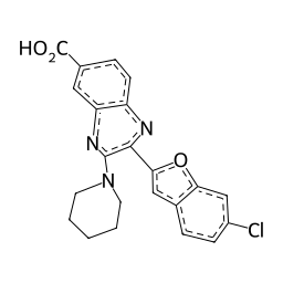 O=C(O)c1ccc2nc(-c3cc4ccc(Cl)cc4o3)c(N3CCCCC3)nc2c1